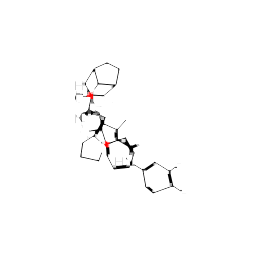 Cc1c(S(=O)(=O)NC2C3CCC2CC(O)(c2cc(-c4ccccc4)on2)C3)c2n(c1C(=O)Nc1ccc(F)c(F)c1)CCC2